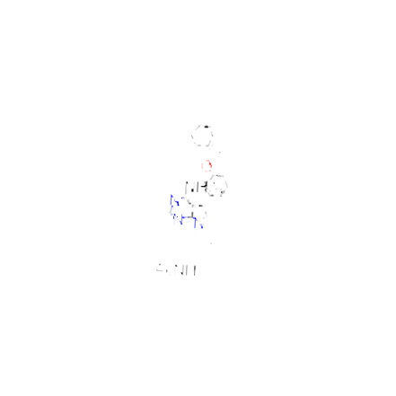 CC(=O)NCC1CC(n2cc(-c3cccc(OCc4ccccc4)c3)c3c(NC(C)=O)ncnc32)C1